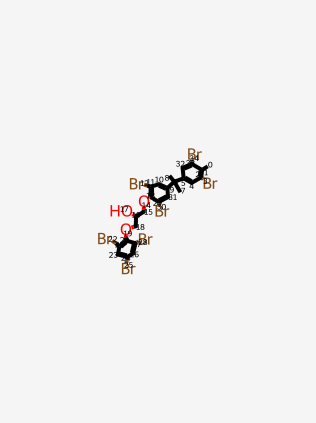 Cc1c(Br)cc(C(C)(C)c2cc(Br)c(OCC(O)COc3c(Br)cc(Br)cc3Br)c(Br)c2)cc1Br